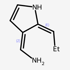 CC/C=c1/[nH]cc/c1=C/N